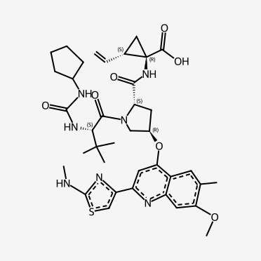 C=C[C@@H]1C[C@]1(NC(=O)[C@@H]1C[C@@H](Oc2cc(-c3csc(NC)n3)nc3cc(OC)c(C)cc23)CN1C(=O)[C@@H](NC(=O)NC1CCCC1)C(C)(C)C)C(=O)O